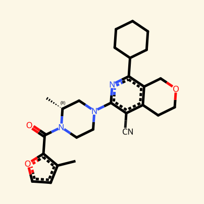 Cc1ccoc1C(=O)N1CCN(c2nc(C3CCCCC3)c3c(c2C#N)CCOC3)C[C@H]1C